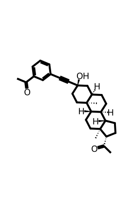 CC(=O)c1cccc(C#C[C@@]2(O)CC[C@@]3(C)[C@H](CC[C@@H]4[C@@H]3CC[C@]3(C)[C@@H](C(C)=O)CC[C@@H]43)C2)c1